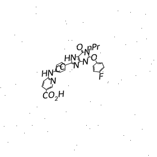 CCCn1c(Oc2ccc(F)cc2)nc2nc(C34CCC(Nc5ccc(C(=O)O)cn5)(CC3)CC4)[nH]c2c1=O